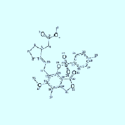 COC(=O)CC1CCC/C1=C\Cc1c(OC)c(C)c2c(c1OS(=O)(=O)c1ccc(C)cc1)C(=O)OC2